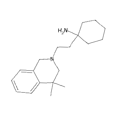 CC1(C)CN(CCC2(N)CCCCC2)Cc2ccccc21